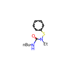 CCCCNC(=O)N(CC)Sc1ccccc1